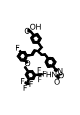 O=C(O)c1ccc(CC(/C=C/c2cc(F)ccc2OCc2cc(C(F)(F)F)cc(C(F)(F)F)c2)CCc2ccc(-c3noc(=O)[nH]3)cc2)cc1